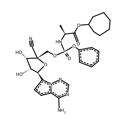 C[C@H](NP(=O)(OC[C@@]1(C#N)O[C@@H](c2ccc3c(N)ncnn23)[C@H](O)[C@@H]1O)Oc1ccccc1)C(=O)OC1CCCCCC1